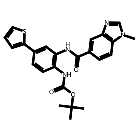 Cn1cnc2cc(C(=O)Nc3cc(-c4cccs4)ccc3NC(=O)OC(C)(C)C)ccc21